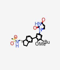 COc1c(-c2ccc3c(c2)CC[C@@H]3CNS(C)(=O)=O)cc(-n2ccc(=O)[nH]c2=O)cc1C(C)(C)C